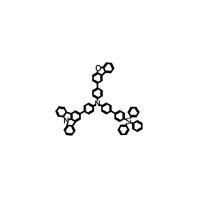 C1=CC2c3cc(-c4ccc(N(c5ccc(-c6ccc([Si](c7ccccc7)(c7ccccc7)c7ccccc7)cc6)cc5)c5ccc(-c6ccc7oc8ccccc8c7c6)cc5)cc4)cc4c5ccccc5n(c34)C2C=C1